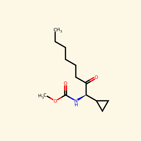 CCCCCCC(=O)[C@H](NC(=O)OC)C1CC1